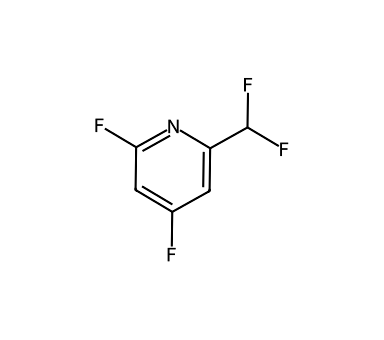 Fc1cc(F)nc(C(F)F)c1